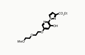 CCOC(=O)c1ccn(-c2ncc(OCCOCCOC)cc2O)n1